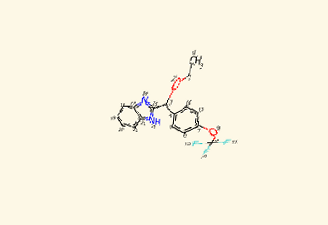 CCOC(c1ccc(OC(F)(F)F)cc1)c1nc2ccccc2[nH]1